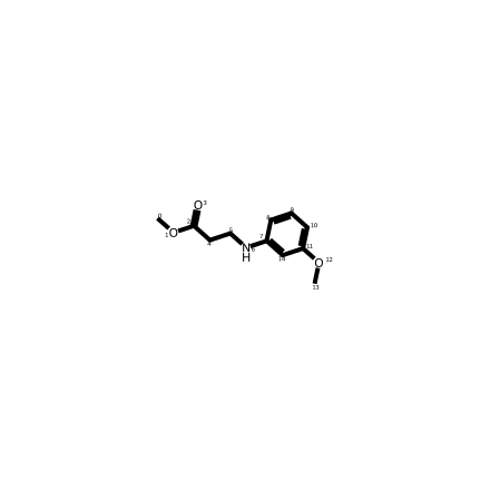 COC(=O)CCNc1cccc(OC)c1